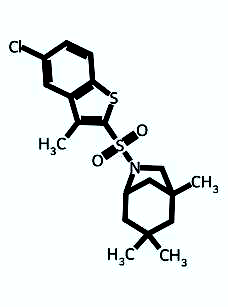 Cc1c(S(=O)(=O)N2CC3(C)CC2CC(C)(C)C3)sc2ccc(Cl)cc12